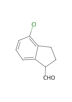 O=CC1CCc2c(Cl)cccc21